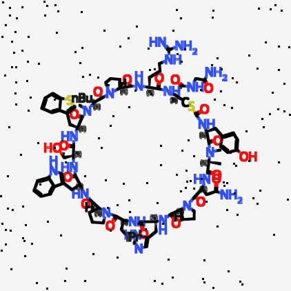 CCCC[C@H]1C(=O)N2CCC[C@@H]2C(=O)N[C@@H](CCCNC(=N)N)C(=O)N[C@H](C(=O)NCC(N)=O)CSC(=O)N[C@@H](Cc2ccc(O)cc2)C(=O)N(C)[C@@H](C)C(=O)N[C@@H](CC(N)=O)C(=O)N2CCC[C@H]2C(=O)N[C@@H](Cc2cnc[nH]2)C(=O)N[C@@H](CC(C)C)C(=O)N2CCC[C@H]2C(=O)N[C@@H](Cc2c[nH]c3ccccc23)C(=O)N[C@@H](CO)C(=O)N[C@@H](Cc2csc3ccccc23)C(=O)N1C